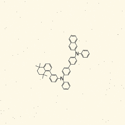 CC1(C)CCC(C)(C)c2c(-c3cccc(N(c4ccccc4)c4ccc(-c5ccc(N(c6ccccc6)c6ccc7ccccc7c6)cc5)cc4)c3)cccc21